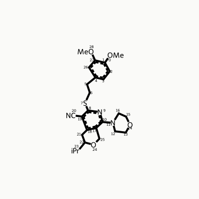 COc1ccc(CCSc2nc(N3CCOCC3)c3c(c2C#N)CC(C(C)C)OC3)cc1OC